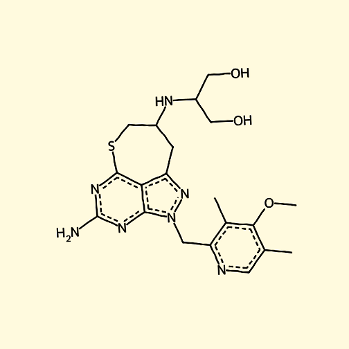 COc1c(C)cnc(Cn2nc3c4c(nc(N)nc42)SCC(NC(CO)CO)C3)c1C